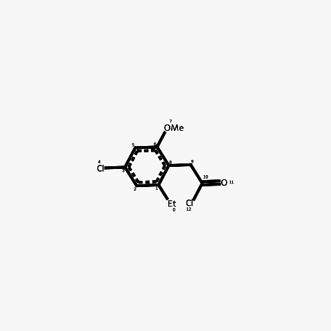 CCc1cc(Cl)cc(OC)c1CC(=O)Cl